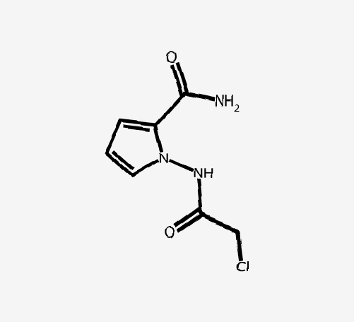 NC(=O)c1cccn1NC(=O)CCl